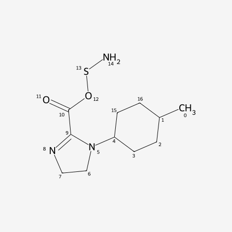 CC1CCC(N2CCN=C2C(=O)OSN)CC1